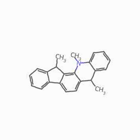 CC1c2ccccc2N(C)c2c1ccc1c2C(C)c2ccccc2-1